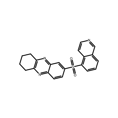 O=S(=O)(c1ccc2nc3c(nc2c1)CCCC3)c1cccc2cnccc12